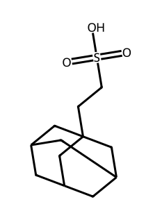 O=S(=O)(O)CCC12CC3CC(CC(C3)C1)C2